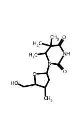 CC1CC(N2C(=O)NC(=O)C(C)(C)C2C)OC1CO